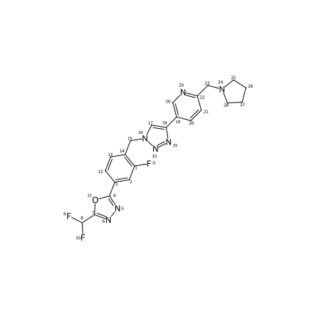 Fc1cc(-c2nnc(C(F)F)o2)ccc1Cn1cc(-c2ccc(CN3CCCC3)nc2)nn1